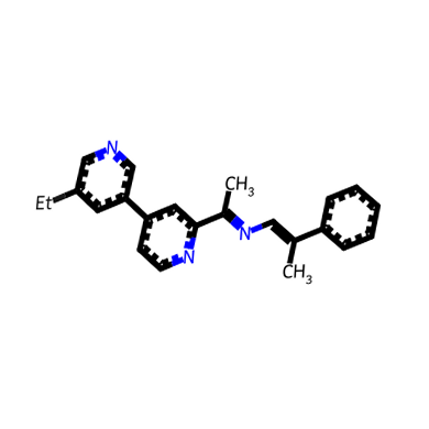 CCc1cncc(-c2ccnc(/C(C)=N/C=C(\C)c3ccccc3)c2)c1